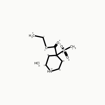 CCOC(=O)C1(S(C)(=O)=O)CCNCC1.Cl